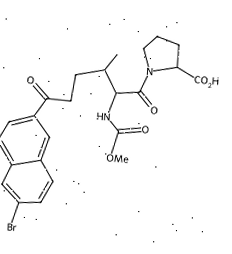 COC(=O)NC(C(=O)N1CCCC1C(=O)O)C(C)CCC(=O)c1ccc2cc(Br)ccc2c1